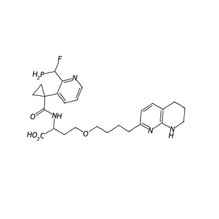 O=C(O)C(CCOCCCCc1ccc2c(n1)NCCC2)NC(=O)C1(c2cccnc2C(F)P)CC1